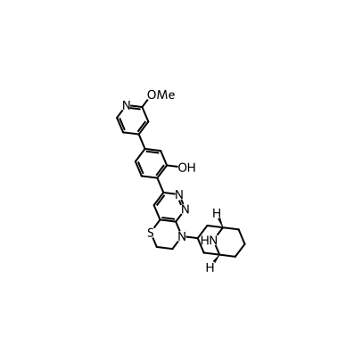 COc1cc(-c2ccc(-c3cc4c(nn3)N(C3C[C@H]5CCC[C@@H](C3)N5)CCS4)c(O)c2)ccn1